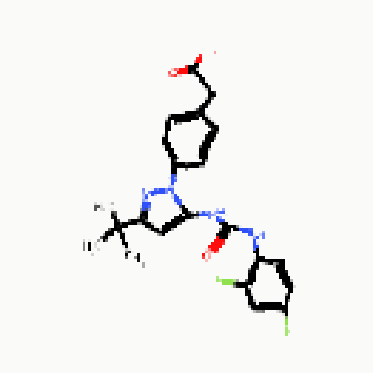 CC(C)(C)c1cc(NC(=O)Nc2ccc(F)cc2F)n(-c2ccc(CC(=O)O)cc2)n1